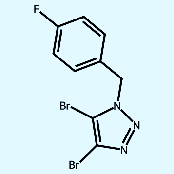 Fc1ccc(Cn2nnc(Br)c2Br)cc1